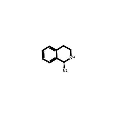 CC[C@@H]1NCCc2ccccc21